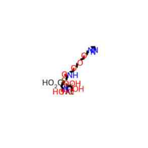 CC(=O)N1C(O)C[C@](SCC(=O)NCCOCCOCCOCCn2ccnn2)(C(=O)O)OC1[C@H](O)C(O)O